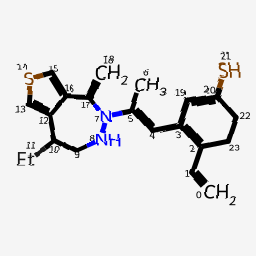 C=CC1=C(/C=C(\C)N2NCC(CC)c3cscc3C2=C)C=C(S)CC1